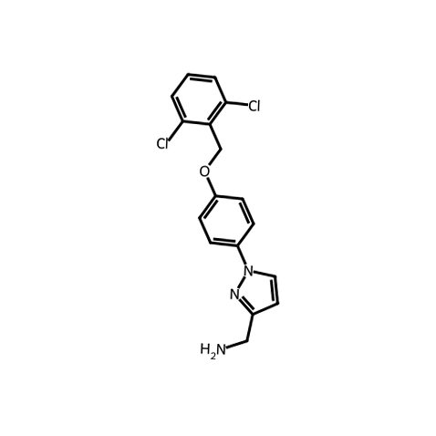 NCc1ccn(-c2ccc(OCc3c(Cl)cccc3Cl)cc2)n1